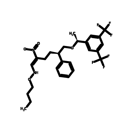 CCCCON/C=C(\CC[C@@H](CO[C@H](C)c1cc(C(F)(F)F)cc(C(F)(F)F)c1)c1ccccc1)[N+](=O)[O-]